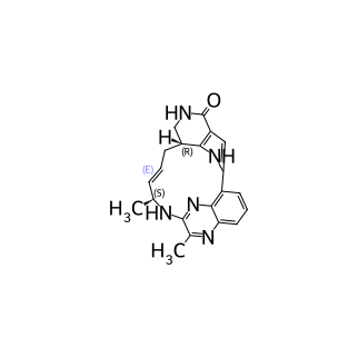 Cc1nc2cccc3c2nc1N[C@@H](C)/C=C/C[C@@H]1CNC(=O)c2cc-3[nH]c21